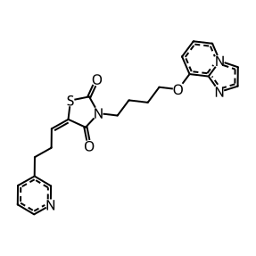 O=C1S/C(=C/CCc2cccnc2)C(=O)N1CCCCOc1cccn2ccnc12